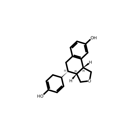 OC1=CCC([C@@H]2Cc3ccc(O)cc3[C@@H]3COC[C@@H]32)C=C1